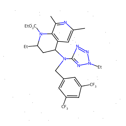 CCOC(=O)N1c2c(cc(C)nc2C)C(N(Cc2cc(C(F)(F)F)cc(C(F)(F)F)c2)c2nnn(CC)n2)CC1CC